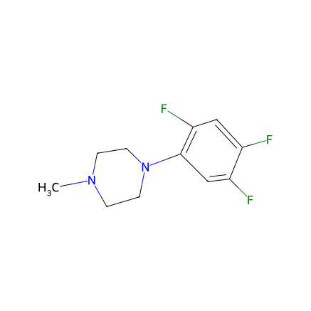 CN1CCN(c2cc(F)c(F)cc2F)CC1